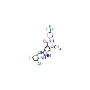 COc1cc2[nH]c(Nc3c(Cl)cc(F)cc3Cl)nc2cc1C(=O)NC1CCC(C(F)(F)F)CC1